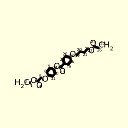 C=COC(=O)COc1ccc(OC(=O)c2ccc(OCCCCOC(=O)C=C)cc2)cc1